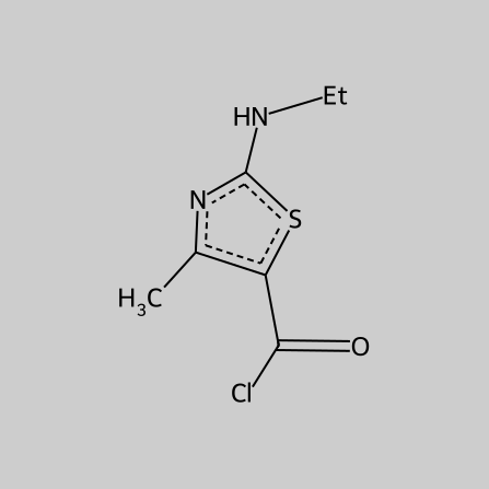 CCNc1nc(C)c(C(=O)Cl)s1